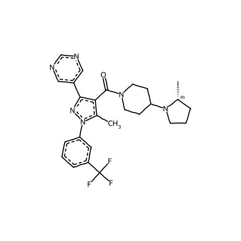 Cc1c(C(=O)N2CCC(N3CCC[C@H]3I)CC2)c(-c2cncnc2)nn1-c1cccc(C(F)(F)F)c1